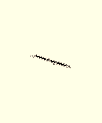 CCCCCCCCCOCCOCCCC(=O)OCCCCCCCCC